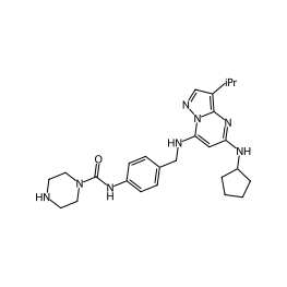 CC(C)c1cnn2c(NCc3ccc(NC(=O)N4CCNCC4)cc3)cc(NC3CCCC3)nc12